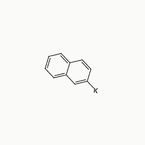 [K][c]1ccc2ccccc2c1